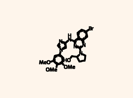 COc1cc(-n2cnc(Nc3nc(N4CCCC4CO)nc4cc(Br)ccc34)c2)cc(OC)c1OC